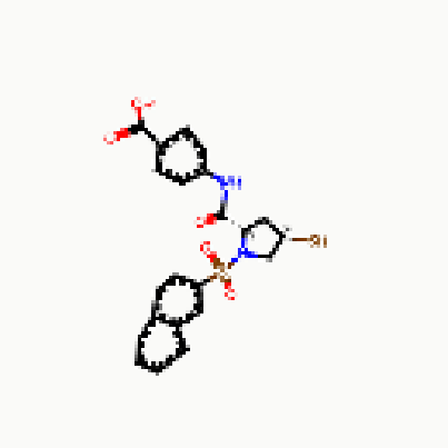 O=C(O)c1ccc(NC(=O)[C@@H]2C[C@@H](S)CN2S(=O)(=O)c2ccc3ccccc3c2)cc1